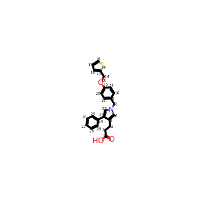 O=C(O)CCc1cn(Cc2ccc(OCc3cccs3)cc2)cc1-c1ccccc1